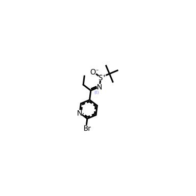 CC/C(=N\[S+]([O-])C(C)(C)C)c1ccc(Br)nc1